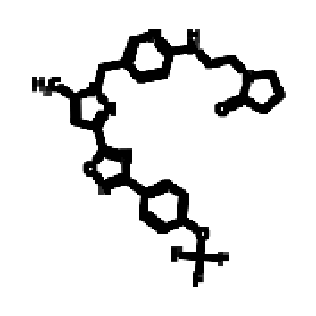 Cc1cc(-c2nc(-c3ccc(OC(F)(F)F)cc3)no2)nn1Cc1ccc(NCCN2CCCC2=O)nc1